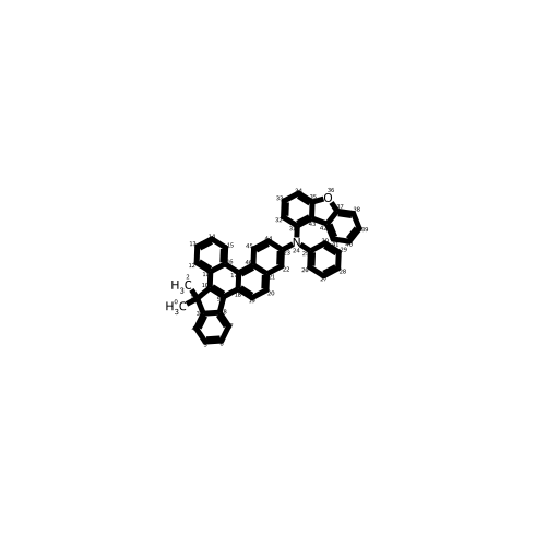 CC1(C)c2ccccc2-c2c1c1ccccc1c1c2ccc2cc(N(c3ccccc3)c3cccc4oc5ccccc5c34)ccc21